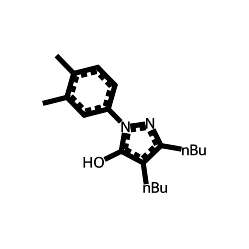 CCCCc1nn(-c2ccc(C)c(C)c2)c(O)c1CCCC